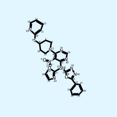 O=[N+]([O-])c1c(N2CCC(Sc3ccccn3)CC2)ncnc1[SH](c1ncco1)c1nnc(-c2ccccc2)o1